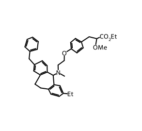 CCOC(=O)C(Cc1ccc(OCCN(C)C2c3ccc(Cc4ccccc4)cc3CCc3ccc(CC)cc32)cc1)OC